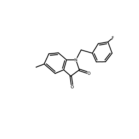 Cc1ccc2c(c1)C(=O)C(=O)N2Cc1cccc(F)c1